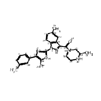 Cc1cccc(-c2nc(-n3nc(C(=O)N4CCNC(C)C4)c4cc(C)ccc43)sc2C(C)C)c1